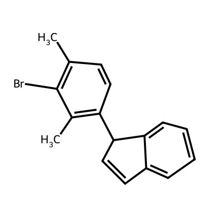 Cc1ccc(C2C=Cc3ccccc32)c(C)c1Br